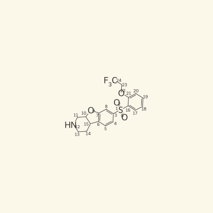 O=S(=O)(c1ccc2c(c1)OC1CNCCC21)c1ccccc1OCC(F)(F)F